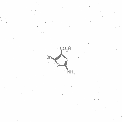 Nc1nc(C(=O)O)c(Br)s1